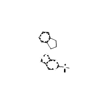 CS(=O)(=O)c1ncc2cnn([C@H]3CCc4ccccc43)c2n1